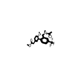 COC(=O)Cc1ccc(OC)c(-c2ccc(C(F)(F)F)cc2CN(C)C(C)=O)c1